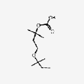 CCC(C)(C)OCCC(C)(C)OC(=O)O